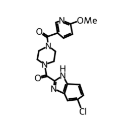 COc1ccc(C(=O)N2CCN(C(=O)c3nc4cc(Cl)ccc4[nH]3)CC2)cn1